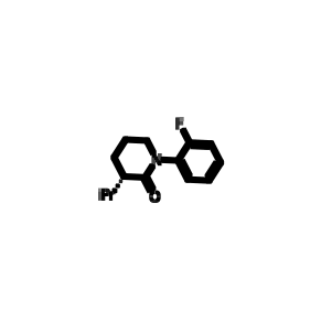 CC(C)[C@@H]1CCCN(c2ccccc2F)C1=O